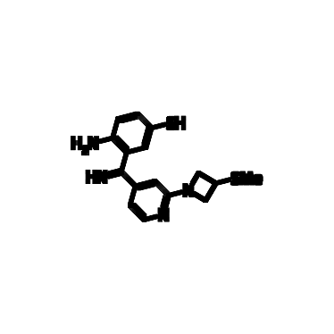 CSC1CN(c2cc(C(=N)c3cc(S)ccc3N)ccn2)C1